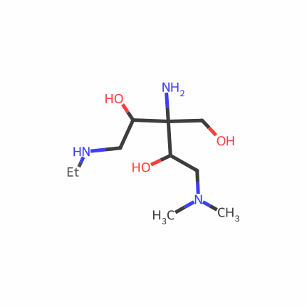 CCNCC(O)C(N)(CO)C(O)CN(C)C